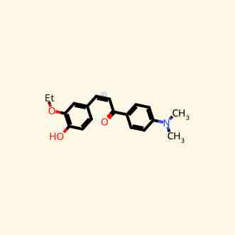 CCOc1cc(/C=C\C(=O)c2ccc(N(C)C)cc2)ccc1O